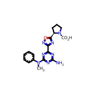 CN(c1ccccc1)c1nc(N)nc(-c2noc([C@H]3CCCN3C(=O)O)n2)n1